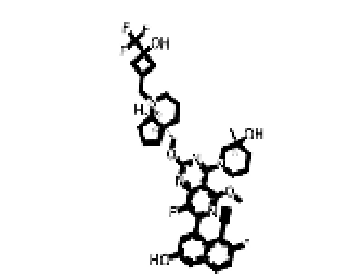 C#Cc1c(F)ccc2cc(O)cc(-c3nc(OC)c4c(N5CCC[C@@](C)(O)C5)nc(OC[C@]56CCC[C@H]5N(CC5CC(O)(C(F)(F)F)C5)CCC6)nc4c3F)c12